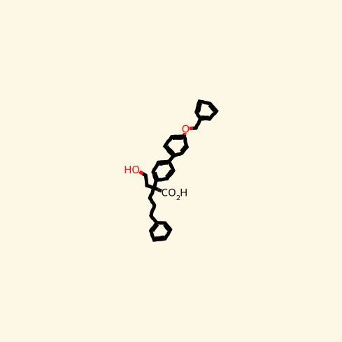 O=C(O)C(CCO)(CCCc1ccccc1)c1ccc(-c2ccc(OCc3ccccc3)cc2)cc1